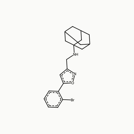 Brc1ccccc1-c1cc(CNC23CC4CC(CC(C4)C2)C3)no1